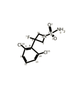 NS(=O)(=O)N1CC(F)(c2c(Cl)cccc2Cl)C1